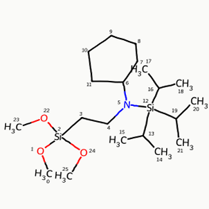 CO[Si](CCN(C1CCCCC1)[Si](C(C)C)(C(C)C)C(C)C)(OC)OC